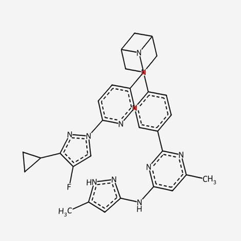 Cc1cc(Nc2cc(C)[nH]n2)nc(-c2ccc(N3CC4CC(C3)N4Cc3ccc(-n4cc(F)c(C5CC5)n4)nc3)nc2)n1